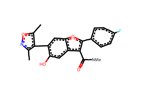 CNC(=O)c1c(-c2ccc(F)cc2)oc2cc(-c3c(C)noc3C)c(O)cc12